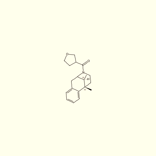 C[C@@H]1C2Cc3ccccc3[C@@]1(C)CCN2C(=O)C1CCOC1